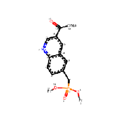 CCOP(=O)(Cc1ccc2ncc(C(=O)OC)cc2c1)OCC